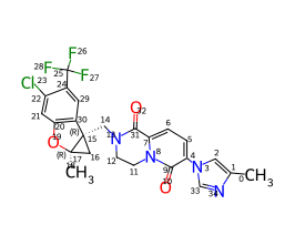 Cc1cn(-c2ccc3n(c2=O)CCN(C[C@]24C[C@@]2(C)Oc2cc(Cl)c(C(F)(F)F)cc24)C3=O)cn1